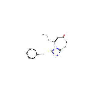 CCCC1=CC(=O)CCc2nnc(SCc3ccccc3)n21